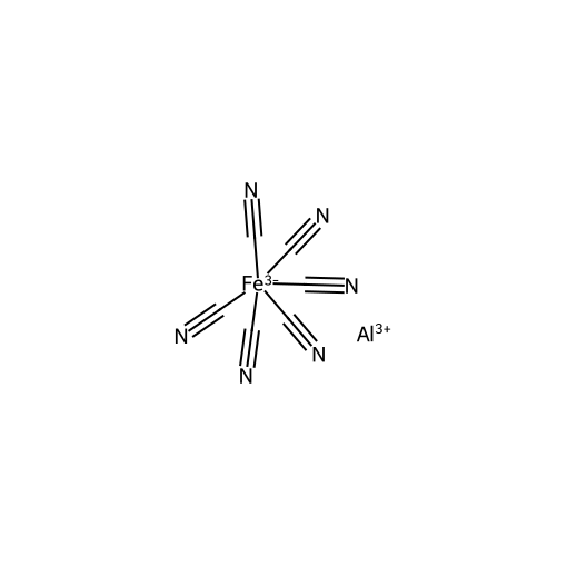 N#[C][Fe-3]([C]#N)([C]#N)([C]#N)([C]#N)[C]#N.[Al+3]